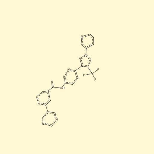 O=C(Nc1ccc(-n2nc(-c3cccnc3)cc2C(F)(F)F)nn1)c1ccnc(-c2cncnc2)c1